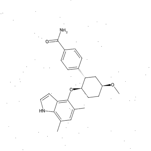 CO[C@H]1CC[C@@H](Oc2c(C)cc(C)c3[nH]ccc23)[C@H](c2ccc(C(N)=O)cc2)C1